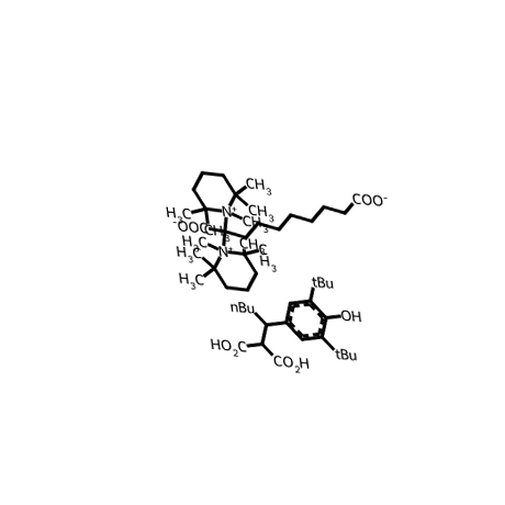 CC1(C)CCCC(C)(C)[N+]1(C)C(CCCCCCCC(=O)[O-])(C(=O)[O-])[N+]1(C)C(C)(C)CCCC1(C)C.CCCCC(c1cc(C(C)(C)C)c(O)c(C(C)(C)C)c1)C(C(=O)O)C(=O)O